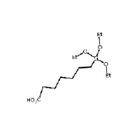 CCO[Si](CCCCCCC(=O)O)(OCC)OCC